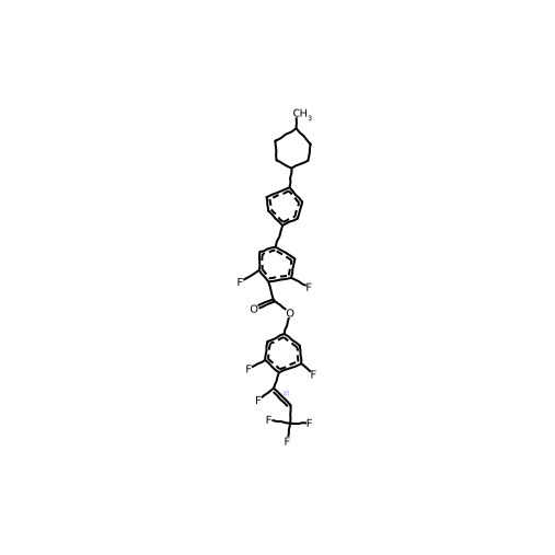 CC1CCC(c2ccc(-c3cc(F)c(C(=O)Oc4cc(F)c(/C(F)=C/C(F)(F)F)c(F)c4)c(F)c3)cc2)CC1